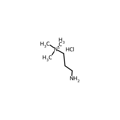 C[N+](C)(C)CCCN.Cl